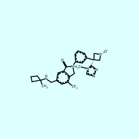 Cn1cnnc1[C@]1(c2cccc(N3Cc4c(cc(CNC5(C)CCC5)cc4C(F)(F)F)C3=O)c2)C[S@+]([O-])C1